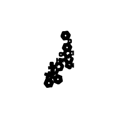 CC(C)(C)[Si](OCC1CCC(NC2=C3C=CN=C3CN=C2C(=O)c2ccc(Oc3ccccc3)cc2Cl)CN1S(C)(=O)=O)(c1ccccc1)c1ccccc1